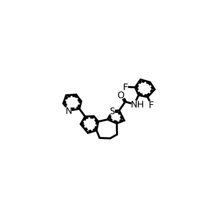 O=C(Nc1c(F)cccc1F)c1cc2c(s1)-c1cc(-c3ccccn3)ccc1CCC2